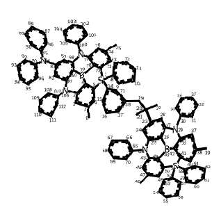 Cc1cc2c3c(c1)[Si](c1ccccc1)(c1cccc(CC(C)(C)c4cc5c6c(c4)N(c4ccccc4)c4cc(C)cc7c4B6c4c(cc(C)cc4[Si]7(c4ccccc4)c4ccccc4)N5c4ccccc4)c1)c1cc(C)cc4c1B3c1c(cc(N(c3ccccc3)c3ccccc3)cc1N4c1ccccc1)N2c1ccccc1